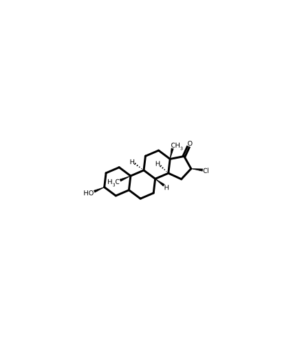 C[C@]12CC[C@H](O)CC1CC[C@@H]1[C@@H]2CC[C@]2(C)C(=O)[C@@H](Cl)C[C@@H]12